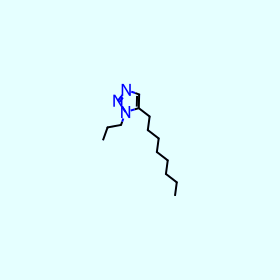 CCCCCCCCc1cnnn1CCC